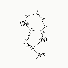 CC(C)C(=O)NC1CCCCNC1=O